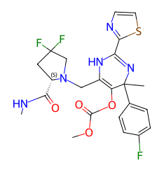 CNC(=O)[C@@H]1CC(F)(F)CN1CC1=C(OC(=O)OC)C(C)(c2ccc(F)cc2)N=C(c2nccs2)N1